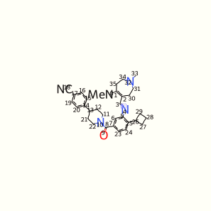 CNC1=C(/C=N/c2cc(C(=O)N3CCC(c4ccc(C#N)cc4)CC3)ccc2C2CCC2)CCN(C)CC1